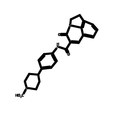 O=C(Nc1ccc(C2CCN(C(=O)O)CC2)cc1)c1cc2cccc3c2n(c1=O)CC3